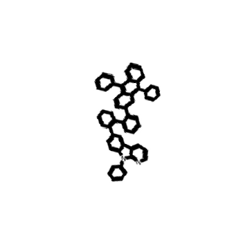 C1=CC(c2ccc3c(c2)c2cccnc2n3-c2ccccc2)=C(c2ccccc2-c2ccc3c(-c4ccccc4)c4ccccc4c(-c4ccccc4)c3c2)CC1